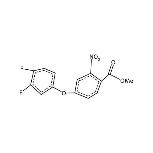 COC(=O)c1ccc(Oc2ccc(F)c(F)c2)cc1[N+](=O)[O-]